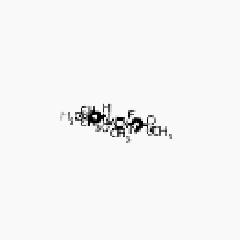 COC(=O)c1cnc(N2CCN(C(=O)Nc3ccc([Si](C)(C)C)cc3)[C@H](C)C2)c(F)c1